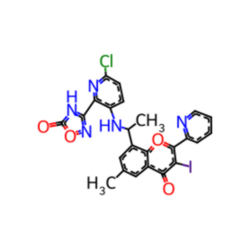 Cc1cc(C(C)Nc2ccc(Cl)nc2-c2noc(=O)[nH]2)c2oc(-c3ccccn3)c(I)c(=O)c2c1